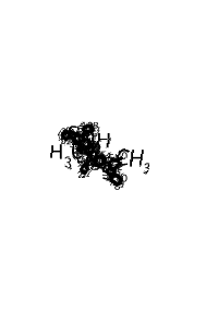 CC1C=c2c(sc3ccccc23)=C(c2ccc(N(c3ccccc3)c3ccc4c(c3)C(C)(C)c3cc5c(sc6ccccc65)c(-c5ccccc5)c3N4)cc2)C1